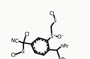 CCCC(CCC)c1ccc(C(Cl)(C#N)SCl)cc1[S+]([O-])CSCl